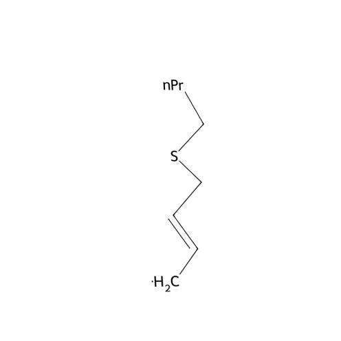 [CH2]C=CCSCCCC